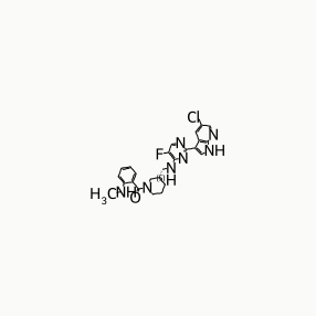 CNc1ccccc1C(=O)N1CCC[C@@H](CNc2nc(-c3c[nH]c4ncc(Cl)cc34)ncc2F)C1